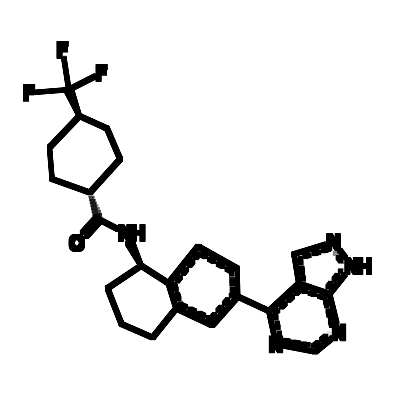 O=C(N[C@@H]1CCCc2cc(-c3ncnc4[nH]ncc34)ccc21)[C@H]1CC[C@H](C(F)(F)F)CC1